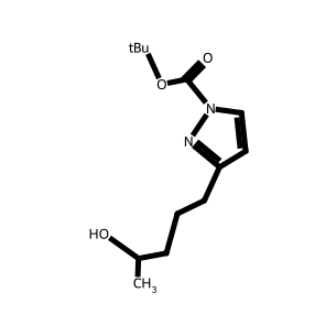 CC(O)CCCc1ccn(C(=O)OC(C)(C)C)n1